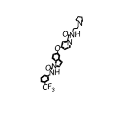 O=C(NCCN1CCCC1)c1cc(Oc2ccc3c(ccn3C(=O)Nc3cccc(C(F)(F)F)c3)c2)ccn1